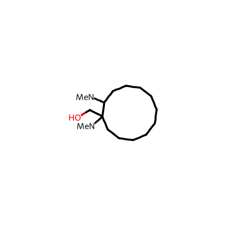 CNC1CCCCCCCCCCC1(CO)NC